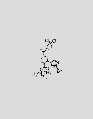 CC(C)(C)OC(=O)N1CCN(C(=O)OCC(Cl)(Cl)Cl)CC1c1cnn(C2CC2)c1